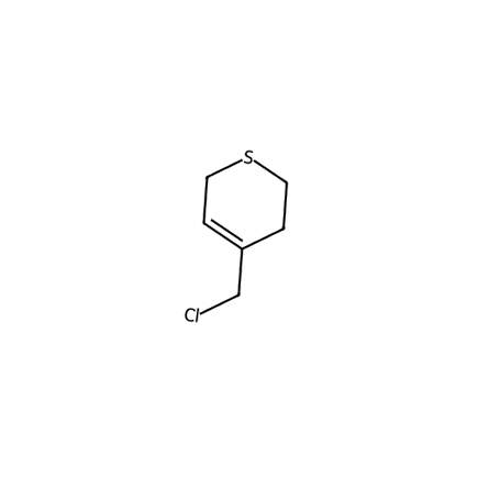 ClCC1=CCSCC1